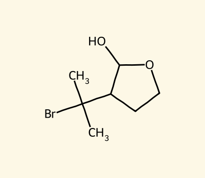 CC(C)(Br)C1CCOC1O